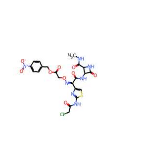 CNC(=O)C1NC(=O)C1NC(=O)/C(=N\OCC(=O)OCc1ccc([N+](=O)[O-])cc1)c1csc(NC(=O)CCl)n1